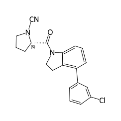 N#CN1CCC[C@H]1C(=O)N1CCc2c(-c3cccc(Cl)c3)cccc21